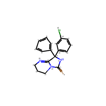 S=C1NC(c2ccccc2)(c2cccc(Br)c2)C2=NCCCN12